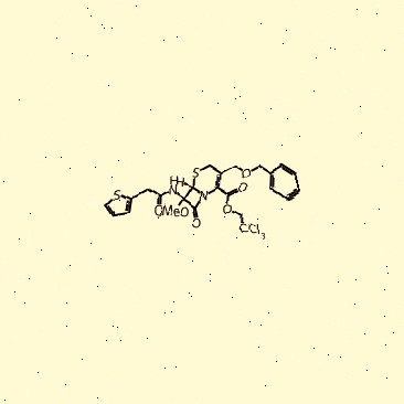 COC1(NC(=O)Cc2cccs2)C(=O)N2C(C(=O)OCC(Cl)(Cl)Cl)=C(COCc3ccccc3)CS[C@H]21